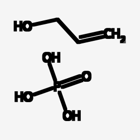 C=CCO.O=P(O)(O)O